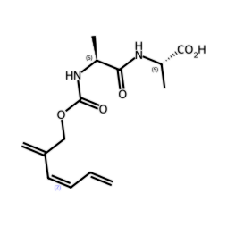 C=C/C=C\C(=C)COC(=O)N[C@@H](C)C(=O)N[C@@H](C)C(=O)O